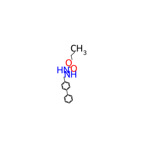 CCCCOC(=O)NNCc1ccc(-c2ccccc2)cc1